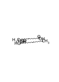 CCCCCCCCC=CCCCCCCC(CC(O)CO)C(=O)O.CCCCCCCCC=CCCCCCCCC(=O)O